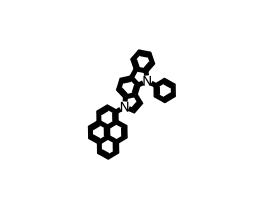 c1ccc(-n2c3ccccc3c3ccc4c(ccn4-c4ccc5ccc6cccc7ccc4c5c67)c32)cc1